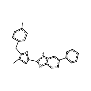 Cc1ccc(Cn2nc(-c3nc4ccc(-c5ccccc5)cc4[nH]3)cc2C)cc1